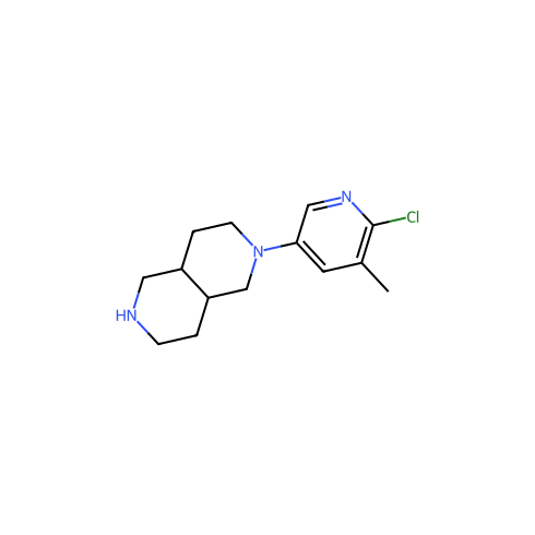 Cc1cc(N2CCC3CNCCC3C2)cnc1Cl